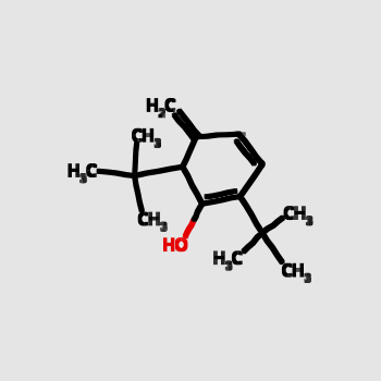 C=C1[C]=CC(C(C)(C)C)=C(O)C1C(C)(C)C